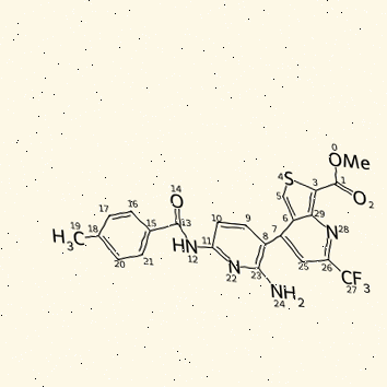 COC(=O)c1scc2c(-c3ccc(NC(=O)c4ccc(C)cc4)nc3N)cc(C(F)(F)F)nc12